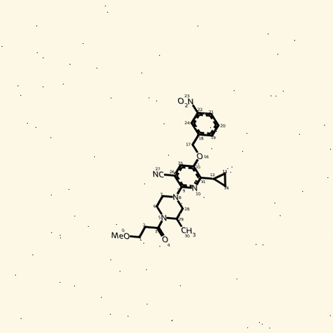 COCCC(=O)N1CCN(c2nc(C3CC3)c(OCc3cccc([N+](=O)[O-])c3)cc2C#N)CC1C